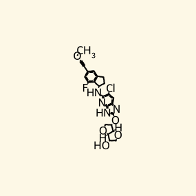 COC#Cc1cc(F)c2c(c1)CC[C@@H]2Nc1nc2[nH]c(O[C@@H]3CO[C@H]4[C@@H]3OC[C@H]4O)nc2cc1Cl